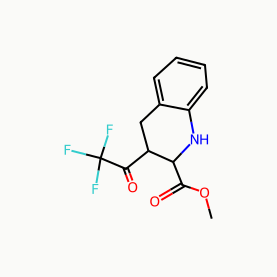 COC(=O)C1Nc2ccccc2CC1C(=O)C(F)(F)F